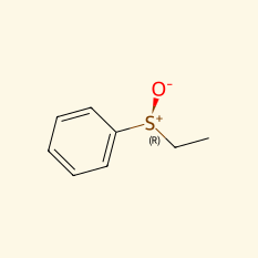 CC[S@+]([O-])c1ccccc1